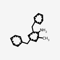 Cc1cc(Cc2ccccc2)cc(Cc2ccccc2)c1N